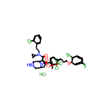 CC(C)(OC(=O)N1C2CNCC1C(C(=O)N(CCc1ccccc1Cl)C1CC1)=C(c1ccc(CCCOc3cc(F)ccc3Br)cc1)C2)C(Cl)(Cl)Cl.Cl